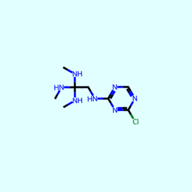 CNC(CNc1ncnc(Cl)n1)(NC)NC